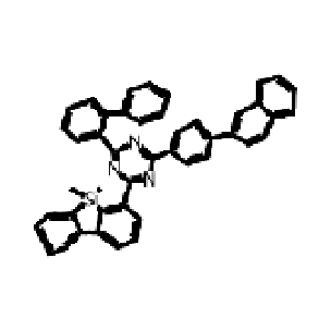 C[Si]1(C)c2ccccc2-c2cccc(-c3nc(-c4ccc(-c5ccc6ccccc6c5)cc4)nc(-c4ccccc4-c4ccccc4)n3)c21